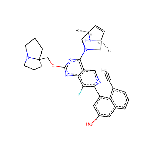 C#Cc1cccc2cc(O)cc(-c3ncc4c(N5C[C@H]6C=C[C@@H](C5)N6)nc(OCC56CCCN5CCC6)nc4c3F)c12